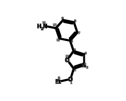 CCOc1ncc(-c2cccc(N)c2)o1